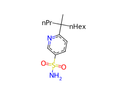 CCCCCCC(C)(CCC)c1ccc(S(N)(=O)=O)cn1